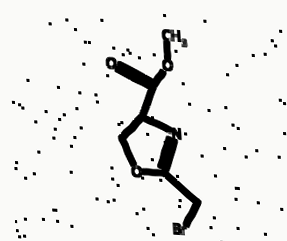 COC(=O)C1COC(CBr)=N1